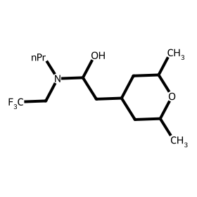 CCCN(CC(F)(F)F)C(O)CC1CC(C)OC(C)C1